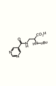 CCCCNC(CNC(=O)c1cncnc1)C(=O)O